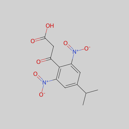 CC(C)c1cc([N+](=O)[O-])c(C(=O)CC(=O)O)c([N+](=O)[O-])c1